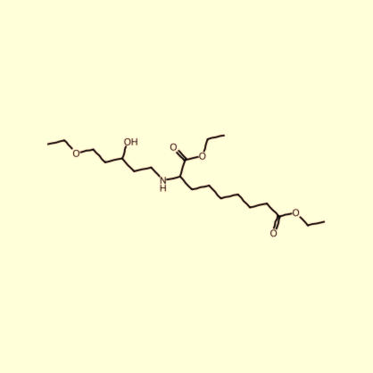 CCOCCC(O)CCNC(CCCCCCC(=O)OCC)C(=O)OCC